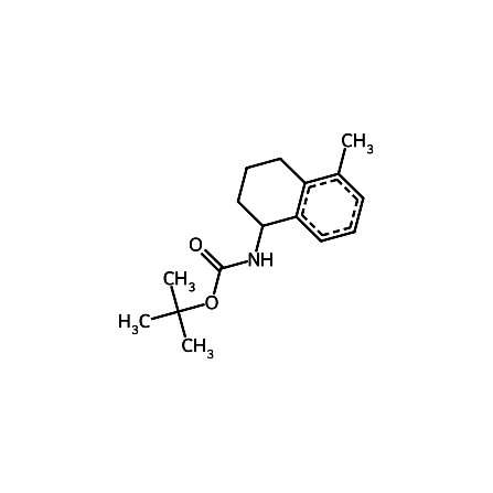 Cc1cccc2c1CCCC2NC(=O)OC(C)(C)C